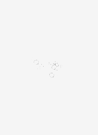 Bc1cnn2c(NC3CCN(C(=O)c4ccc5c(c4)OCO5)CC3)cc(-c3ccccc3Cl)nc12